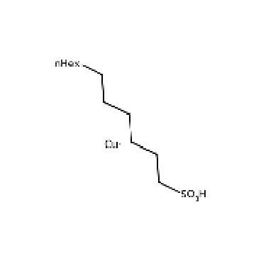 CCCCCCCCCCCCS(=O)(=O)O.[Cu]